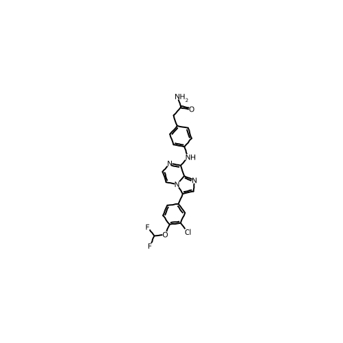 NC(=O)Cc1ccc(Nc2nccn3c(-c4ccc(OC(F)F)c(Cl)c4)cnc23)cc1